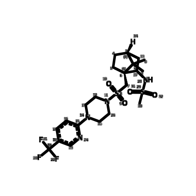 CC1(C)[C@@H]2CC[C@@]1(CS(=O)(=O)N1CCN(c3ccc(C(F)(F)F)cn3)CC1)C(NS(C)(=O)=O)C2